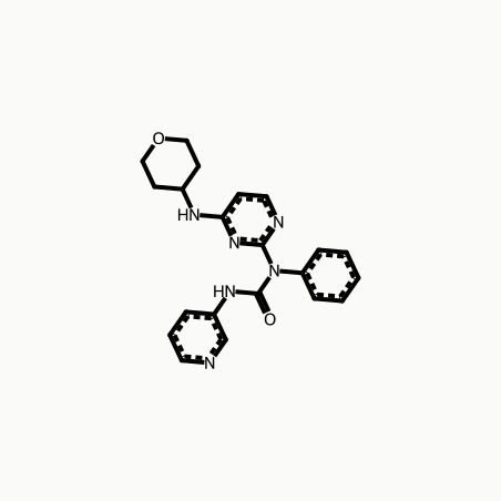 O=C(Nc1cccnc1)N(c1ccccc1)c1nccc(NC2CCOCC2)n1